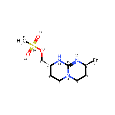 CC[C@H]1CCN2CC[C@H](COS(C)(=O)=O)NC2=N1